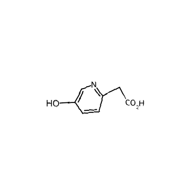 O=C(O)Cc1ccc(O)cn1